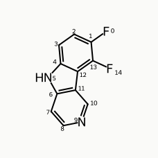 Fc1ccc2[nH]c3ccncc3c2c1F